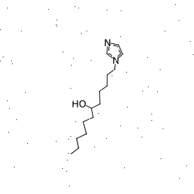 CCCCCCC(O)CCCCCn1ccnc1